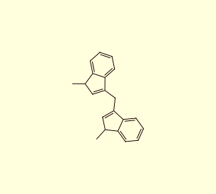 CC1C=C(CC2=CC(C)c3ccccc32)c2ccccc21